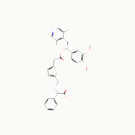 COc1ccc([C@H](Cc2c(Cl)c[n+]([O-])cc2Cl)OC(=O)Cc2ccc(CNC(C(=O)O)c3ccccc3)s2)cc1OC